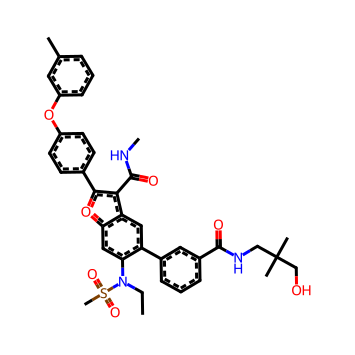 CCN(c1cc2oc(-c3ccc(Oc4cccc(C)c4)cc3)c(C(=O)NC)c2cc1-c1cccc(C(=O)NCC(C)(C)CO)c1)S(C)(=O)=O